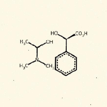 CC(O)N(C)C.O=C(O)[C@H](O)c1ccccc1